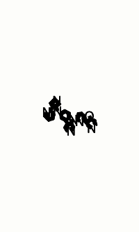 c1cnc2c3ccncc3n(-c3ccc4c(c3)c3ccncc3n4-c3ccc4oc5ccncc5c4n3)c2c1